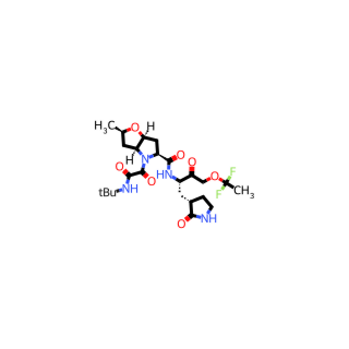 C[C@@H]1C[C@H]2[C@H](C[C@@H](C(=O)N[C@@H](C[C@@H]3CCNC3=O)C(=O)COC(C)(F)F)N2C(=O)C(=O)NC(C)(C)C)O1